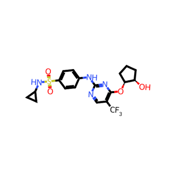 O=S(=O)(NC1CC1)c1ccc(Nc2ncc(C(F)(F)F)c(O[C@H]3CCC[C@H]3O)n2)cc1